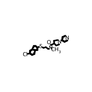 CN(CCCSc1ccc2cc(Cl)ccc2c1)C(=O)C1CCN(c2ccncc2)CC1